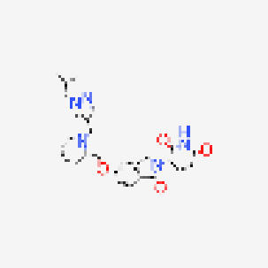 CC(C)Cn1cc(CN2CCCCC2COc2ccc3c(c2)CN(C2CCC(=O)NC2=O)C3=O)cn1